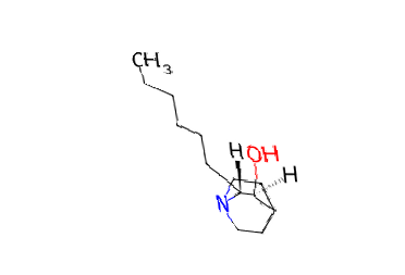 CCCCCC[C@@H]1[C@@H](O)C2CCN1CC2